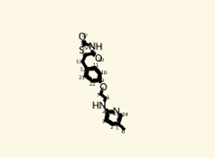 Cc1ccc(NCCOc2ccc(CC3SC(=O)NC3=O)cc2)nc1